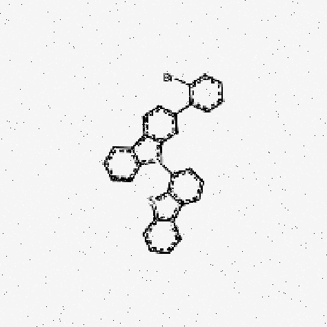 Brc1ccccc1-c1ccc2c3ccccc3n(-c3cccc4c3sc3ccccc34)c2c1